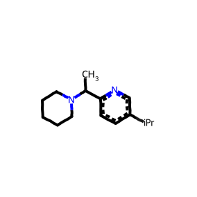 CC(C)c1ccc(C(C)N2CCCCC2)nc1